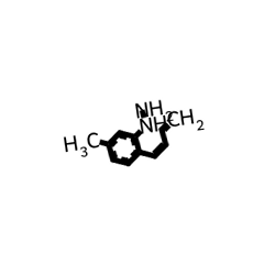 C=C/C=C\c1ccc(C)cc1NN